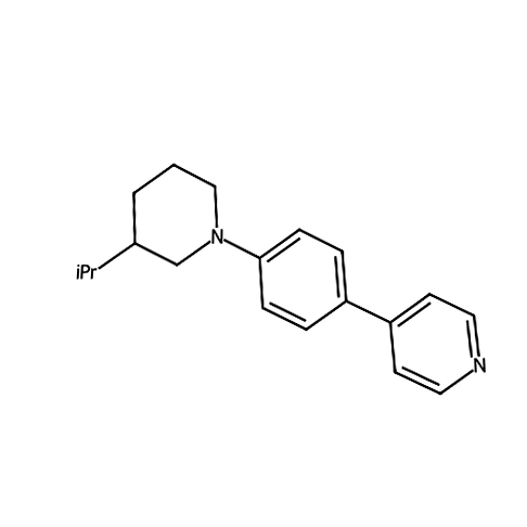 CC(C)C1CCCN(c2ccc(-c3ccncc3)cc2)C1